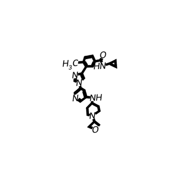 Cc1ccc(C(=O)NC2CC2)cc1-c1cn(-c2cncc(NC3CCN(C4COC4)CC3)c2)cn1